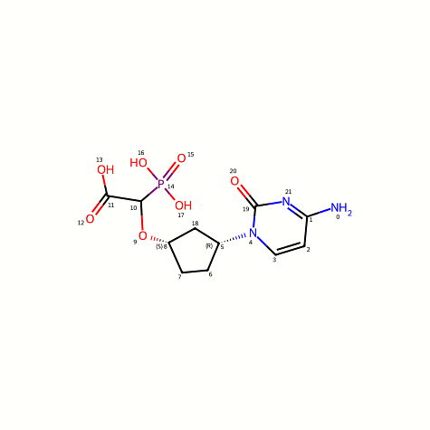 Nc1ccn([C@@H]2CC[C@H](OC(C(=O)O)P(=O)(O)O)C2)c(=O)n1